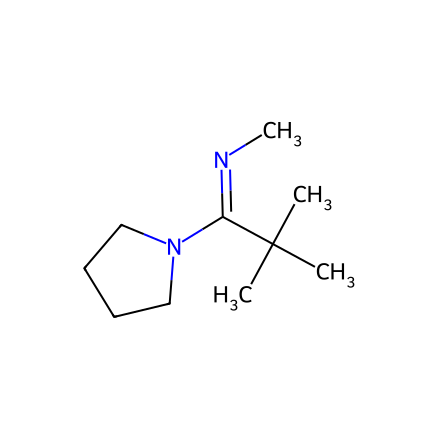 CN=C(N1CCCC1)C(C)(C)C